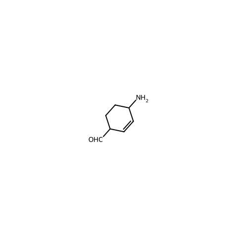 NC1C=CC(C=O)CC1